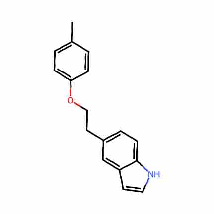 Cc1ccc(OCCc2ccc3[nH]ccc3c2)cc1